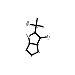 CCC1C2CCCC2OC1C(C)(C)CC